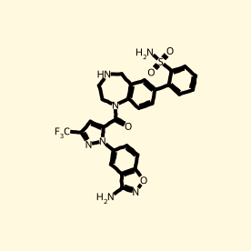 Nc1noc2ccc(-n3nc(C(F)(F)F)cc3C(=O)N3CCNCc4cc(-c5ccccc5S(N)(=O)=O)ccc43)cc12